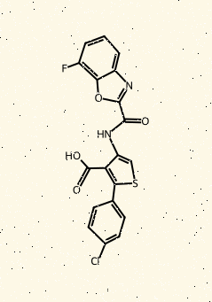 O=C(Nc1csc(-c2ccc(Cl)cc2)c1C(=O)O)c1nc2cccc(F)c2o1